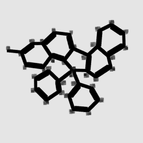 Cc1ccc2c3c(ccc2c1)-c1c(ccc2ccccc12)[Si]3(c1ccccc1)c1ccccc1